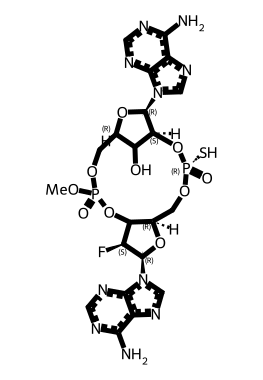 COP1(=O)OC[C@H]2O[C@@H](n3cnc4c(N)ncnc43)[C@@H](O[P@](=O)(S)OC[C@H]3O[C@@H](n4cnc5c(N)ncnc54)[C@@H](F)C3O1)C2O